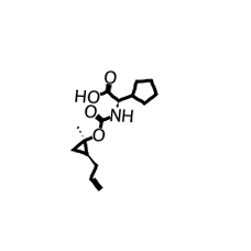 C=CC[C@H]1C[C@@]1(C)OC(=O)N[C@H](C(=O)O)C1CCCC1